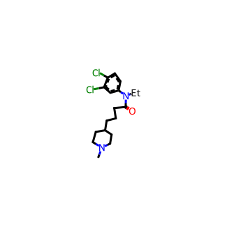 CCN(C(=O)CCCC1CCN(C)CC1)c1ccc(Cl)c(Cl)c1